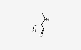 CN[C@H]([C]=O)CS